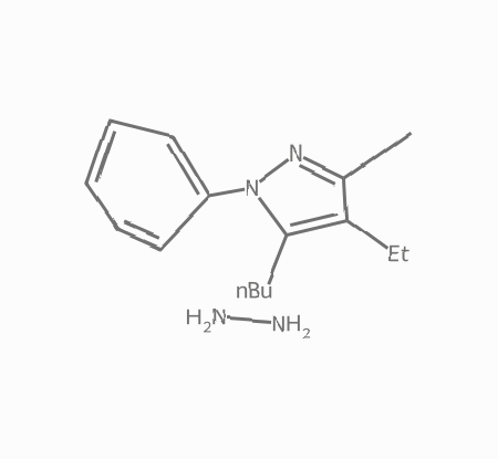 CCCCc1c(CC)c(C)nn1-c1ccccc1.NN